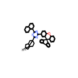 c1ccc2c(c1)Oc1ccc(-c3nc(-c4cccc5ccccc45)nc(C45CCC6C[C@H](CC6C4)C5)n3)cc1C21c2ccccc2-c2ccccc21